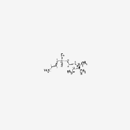 CCC=CC(F)(F)CCC[Si](C)(C)C